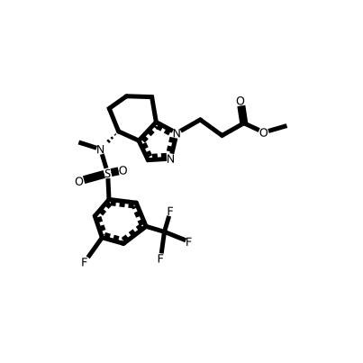 COC(=O)CCn1ncc2c1CCC[C@H]2N(C)S(=O)(=O)c1cc(F)cc(C(F)(F)F)c1